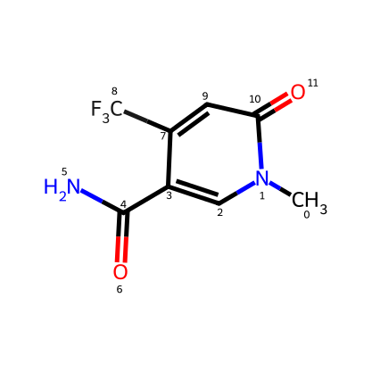 Cn1cc(C(N)=O)c(C(F)(F)F)cc1=O